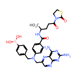 Nc1nc(N)c2nc(CN(Cc3ccc(B(O)O)cc3)c3ccc(C(=O)NC(CCC(=O)N4CCSC4=O)C(=O)O)cc3)cnc2n1